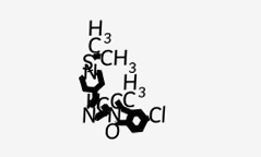 CC(C)SN1CCC(c2cncc(N3C(=O)c4ccc(Cl)cc4C3(C)C)c2)CC1